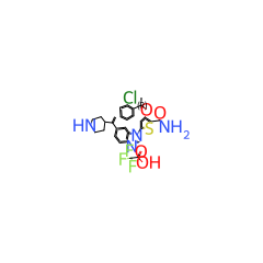 C=C(c1ccc2ncn(-c3cc(O[C@H](C)c4ccccc4Cl)c(C(N)=O)s3)c2c1)C1CCNCC1.O=C(O)C(F)(F)F